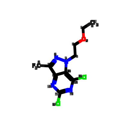 FC(F)(F)COCCn1nc(C(F)(F)F)c2nc(Cl)nc(Cl)c21